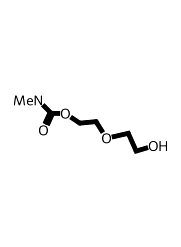 CNC(=O)OCCOCCO